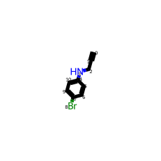 C#CCNc1ccc(Br)cc1